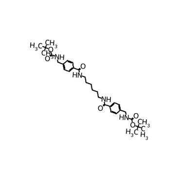 CC(C)(C)OC(=O)NCc1ccc(C(=O)NCCCCCCNC(=O)c2ccc(CNC(=O)OC(C)(C)C)cc2)cc1